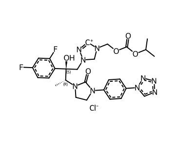 CC(C)OC(=O)OCN1[C+]=NN(C[C@@](O)(c2ccc(F)cc2F)[C@@H](C)N2CCN(c3ccc(-n4cnnn4)cc3)C2=O)C1.[Cl-]